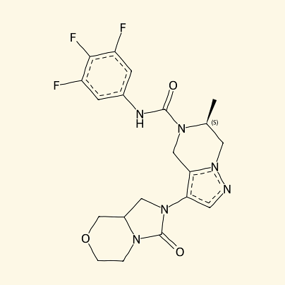 C[C@H]1Cn2ncc(N3CC4COCCN4C3=O)c2CN1C(=O)Nc1cc(F)c(F)c(F)c1